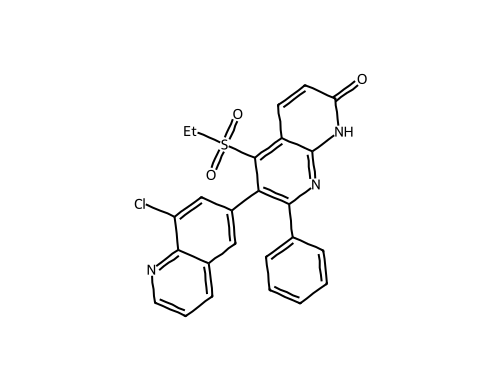 CCS(=O)(=O)c1c(-c2cc(Cl)c3ncccc3c2)c(-c2ccccc2)nc2[nH]c(=O)ccc12